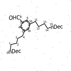 CCCCCCCCCCCCCCc1cc(C=O)cc(CCCCCCCCCCCCCC)c1